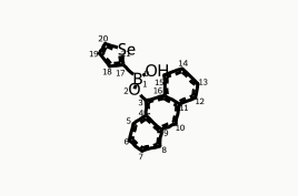 OB(Oc1c2ccccc2cc2ccccc12)c1ccc[se]1